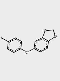 Ic1ccc(Oc2ccc3c(c2)OCO3)cc1